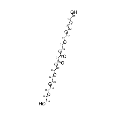 O=C(CC(=O)OCCOCCOCCOCCO)OCCOCCOCCOCCO